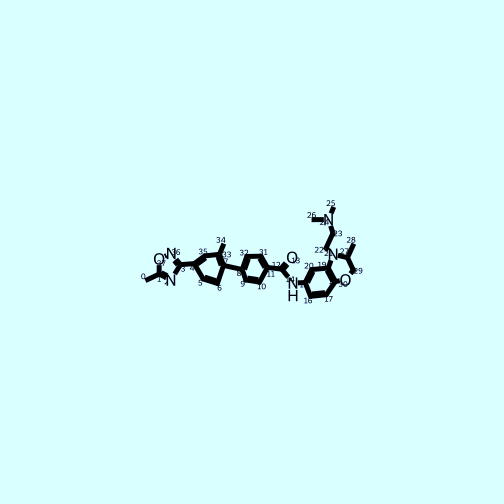 Cc1nc(-c2ccc(-c3ccc(C(=O)Nc4ccc5c(c4)N(CCN(C)C)C(C)CO5)cc3)c(C)c2)no1